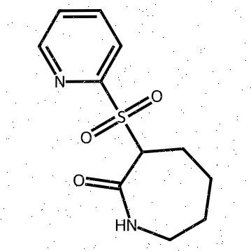 O=C1NCCCCC1S(=O)(=O)c1ccccn1